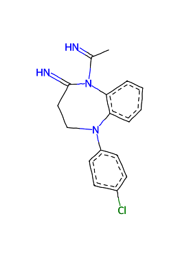 CC(=N)N1C(=N)CCN(c2ccc(Cl)cc2)c2ccccc21